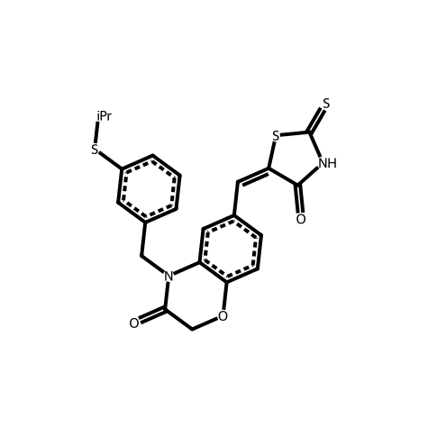 CC(C)Sc1cccc(CN2C(=O)COc3ccc(C=C4SC(=S)NC4=O)cc32)c1